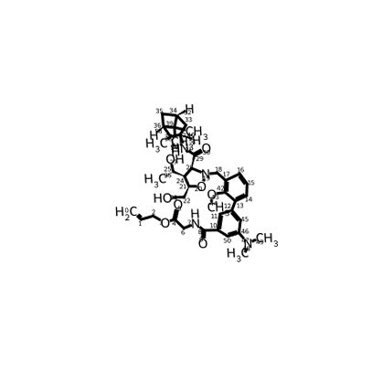 C=CCOC(=O)CNC(=O)c1cc(-c2cccc(CN3O[C@@H](CO)[C@@H]([C@H](C)O)[C@H]3C(=O)N[C@H]3C[C@H]4C[C@@H]([C@@H]3C)C4(C)C)c2OC)cc(N(C)C)c1